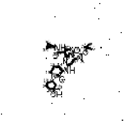 CN(C(=O)OC(C)(C)C)c1cc(Nc2cccn([C@H]3CCC[C@@](C)(O)C3)c2=O)nc2c(C(=O)NC3CC3)cnn12